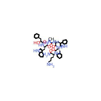 CN(NC(=O)[C@@H](Cc1c[nH]c2ccccc12)NC(=O)[C@@H](O)Cc1ccccc1)C(=O)N[C@@H](Cc1c[nH]c2ccccc12)C(=O)N[C@H](Cc1ccccc1)C(=O)N[C@@H](CCCCN)C(N)=O